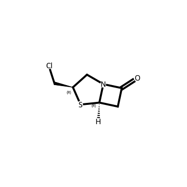 O=C1C[C@H]2S[C@@H](CCl)CN12